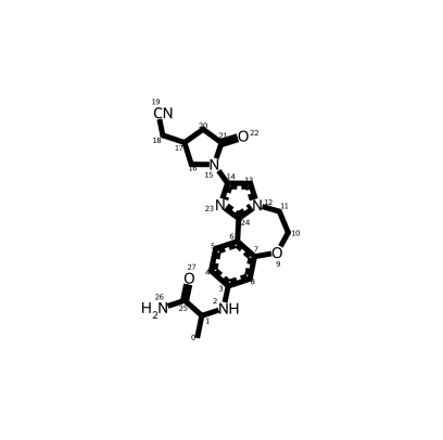 CC(Nc1ccc2c(c1)OCCn1cc(N3CC(CC#N)CC3=O)nc1-2)C(N)=O